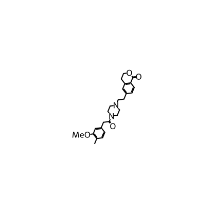 COc1cc(CC(=O)N2CCN(CCc3ccc4c(c3)CCOC4=O)CC2)ccc1C